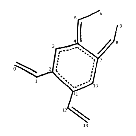 C=Cc1cc(=C/C)/c(=C\C)cc1C=C